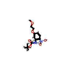 COCCOc1ccc([N+](=O)[O-])c(NC(=O)OC(C)(C)C)c1